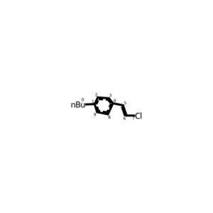 CCCCc1ccc(C=CCl)cc1